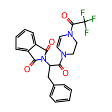 O=C(C(Cc1ccccc1)N1C(=O)c2ccccc2C1=O)N1C=CN(C(=O)C(F)(F)F)CC1